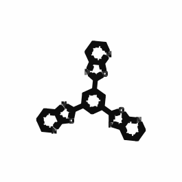 c1cnc2oc(-c3cc(-c4nc5cccnc5o4)cc(-c4nc5cccnc5o4)c3)nc2c1